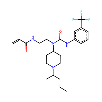 C=CC(=O)NCCN(C(=O)Nc1cccc(C(F)(F)F)c1)C1CCN(C(C)CCC)CC1